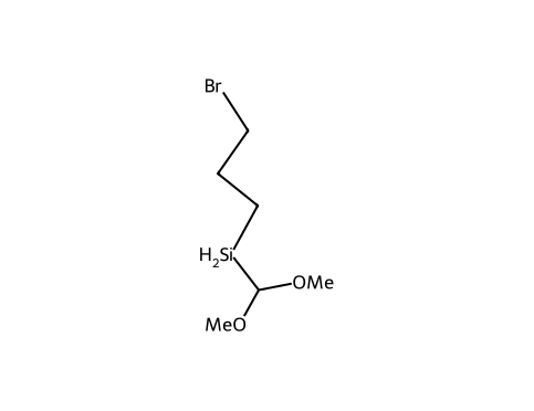 COC(OC)[SiH2]CCCBr